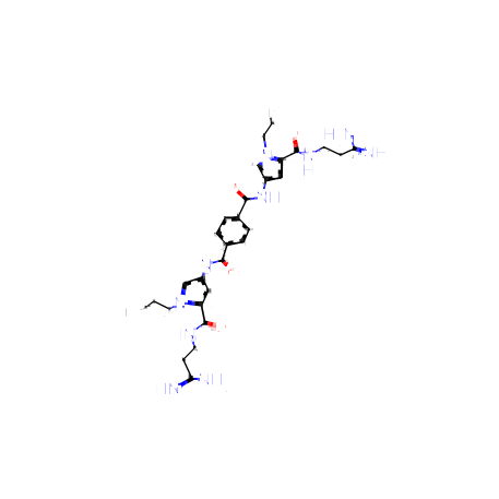 CC(C)CCn1cc(NC(=O)c2ccc(C(=O)Nc3cc(C(=O)NCCC(=N)N)n(CCC(C)C)c3)cc2)cc1C(=O)NCCC(=N)N